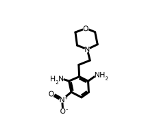 Nc1ccc([N+](=O)[O-])c(N)c1CCN1CCOCC1